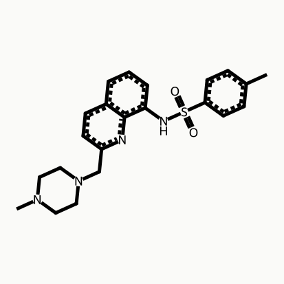 Cc1ccc(S(=O)(=O)Nc2cccc3ccc(CN4CCN(C)CC4)nc23)cc1